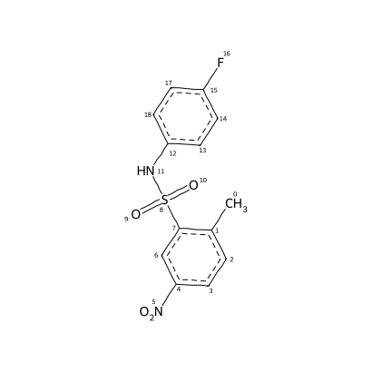 Cc1ccc([N+](=O)[O-])cc1S(=O)(=O)Nc1ccc(F)cc1